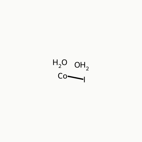 O.O.[Co][I]